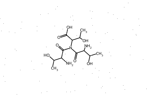 CC(O)C(N)C(=O)N(C(=O)C(N)C(C)O)C(C(=O)O)C(C)O